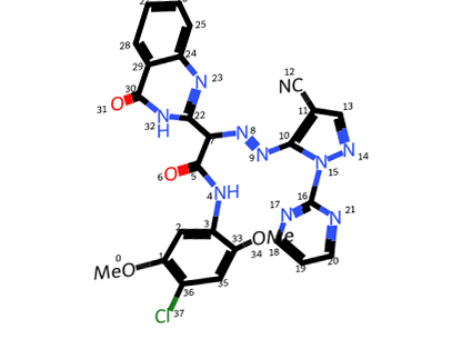 COc1cc(NC(=O)C(N=Nc2c(C#N)cnn2-c2ncccn2)c2nc3ccccc3c(=O)[nH]2)c(OC)cc1Cl